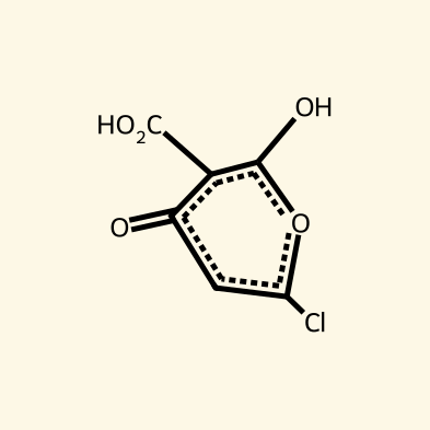 O=C(O)c1c(O)oc(Cl)cc1=O